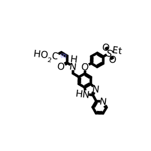 CCS(=O)(=O)c1ccc(Oc2cc3nc(-c4ccccn4)[nH]c3cc2CNC(=O)/C=C\C(=O)O)cc1